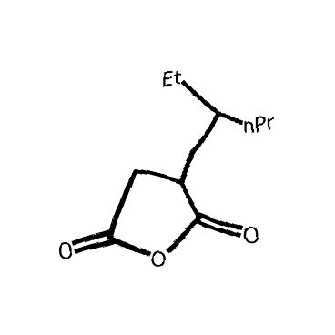 CCCC(CC)C1CC(=O)OC1=O